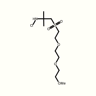 COCCOCCOCCS(=O)(=O)CC(C)(C)NCl